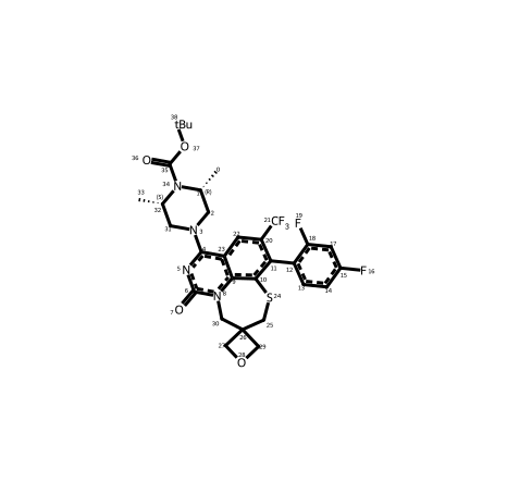 C[C@@H]1CN(c2nc(=O)n3c4c(c(-c5ccc(F)cc5F)c(C(F)(F)F)cc24)SCC2(COC2)C3)C[C@H](C)N1C(=O)OC(C)(C)C